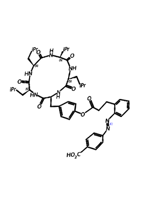 CC(C)C[C@@H]1NC(=O)C(Cc2ccc(OC(=O)CCc3ccccc3/N=N/c3ccc(C(=O)O)cc3)cc2)NC(=O)[C@H](CC(C)C)NC(=O)[C@H](C(C)C)NC(=O)[C@H](CC(C)C)NC1=O